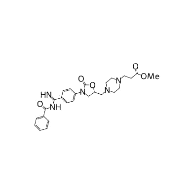 COC(=O)CCN1CCN(CC2CN(c3ccc(C(=N)NC(=O)c4ccccc4)cc3)C(=O)O2)CC1